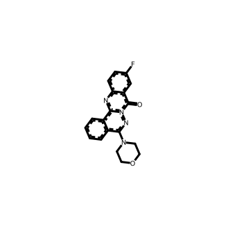 O=c1c2cc(F)ccc2nc2c3ccccc3c(N3CCOCC3)nn12